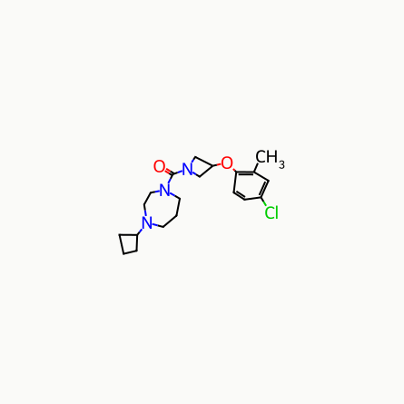 Cc1cc(Cl)ccc1OC1CN(C(=O)N2CCCN(C3CCC3)CC2)C1